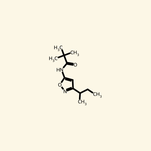 CCC(C)c1cc(NC(=O)C(C)(C)C)on1